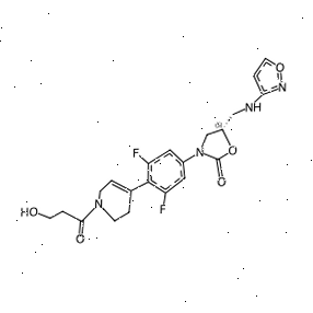 O=C(CCO)N1CC=C(c2c(F)cc(N3C[C@H](CNc4ccon4)OC3=O)cc2F)CC1